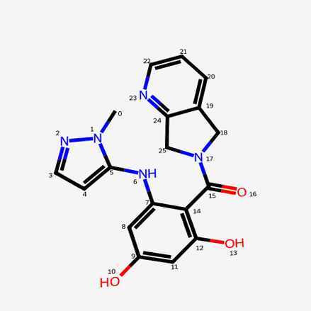 Cn1nccc1Nc1cc(O)cc(O)c1C(=O)N1Cc2cccnc2C1